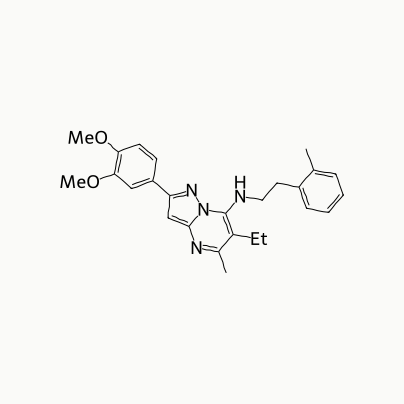 CCc1c(C)nc2cc(-c3ccc(OC)c(OC)c3)nn2c1NCCc1ccccc1C